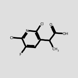 CC(C(=O)O)c1cc(F)c(Cl)nc1Cl